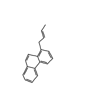 CC=CCc1cccc2c1ccc1ccccc12